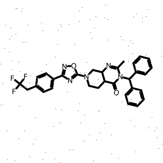 CC1=NC2CN(c3nc(-c4ccc(CC(F)(F)F)cc4)no3)CCC2C(=O)N1C(c1ccccc1)c1ccccc1